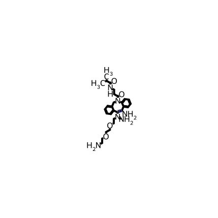 CC(C)C(=O)NCCC(=O)N1Cc2ccccc2/C(N(N)CCOCCOCCN)=C(/N)c2ccccc21